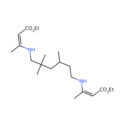 CCOC(=O)/C=C(/C)NCCC(C)CC(C)(C)CN/C(C)=C\C(=O)OCC